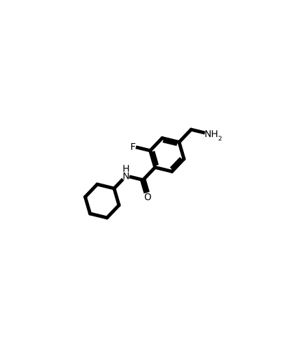 NCc1ccc(C(=O)NC2CCCCC2)c(F)c1